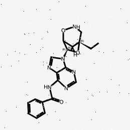 CC[C@@]12CNOC([C@H](n3cnc4c(NC(=O)c5ccccc5)ncnc43)O1)[C@H]2C